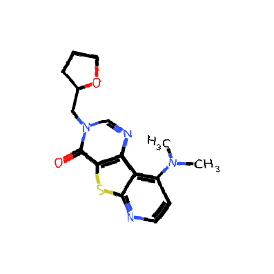 CN(C)c1ccnc2sc3c(=O)n(CC4CCCO4)cnc3c12